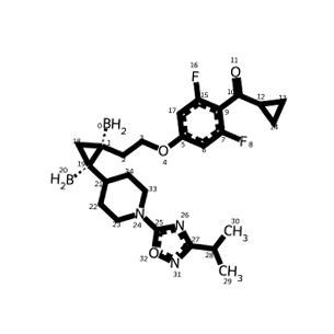 B[C@@]1(CCOc2cc(F)c(C(=O)C3CC3)c(F)c2)C[C@]1(B)C1CCN(c2nc(C(C)C)no2)CC1